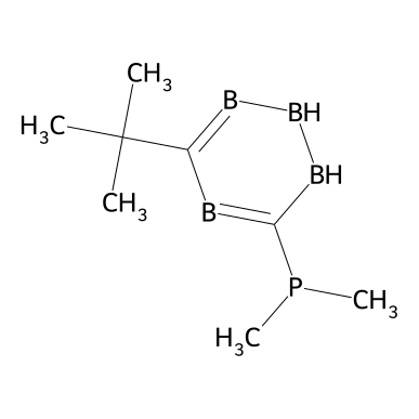 CP(C)C1=BC(C(C)(C)C)=BBB1